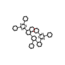 c1ccc(-c2nc(-c3ccccc3)nc(-c3ccccc3-c3ccc(-c4ccc(-c5nc(-c6ccccc6)nc(-c6ccccc6)n5)c5ccccc45)cc3-c3ccccc3)n2)cc1